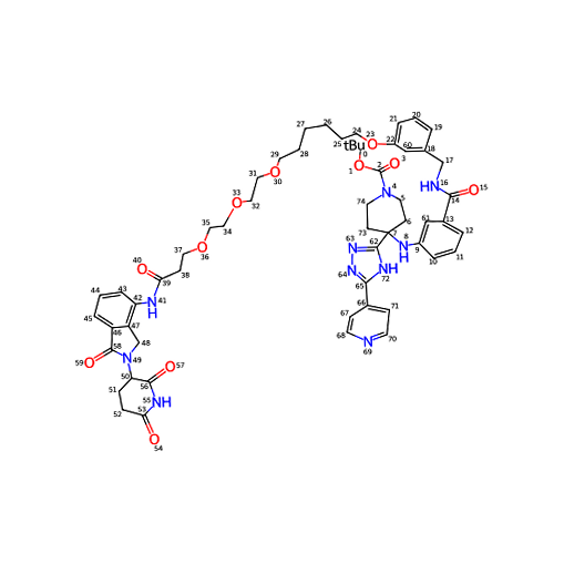 CC(C)(C)OC(=O)N1CCC(Nc2cccc(C(=O)NCc3cccc(OCCCCCCOCCOCCOCCC(=O)Nc4cccc5c4CN(C4CCC(=O)NC4=O)C5=O)c3)c2)(c2nnc(-c3ccncc3)[nH]2)CC1